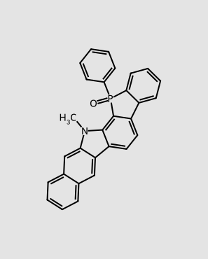 Cn1c2cc3ccccc3cc2c2ccc3c(c21)P(=O)(c1ccccc1)c1ccccc1-3